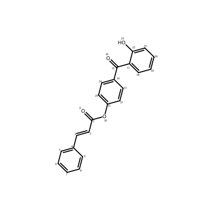 O=C(C=Cc1ccccc1)Oc1ccc(C(=O)c2ccccc2O)cc1